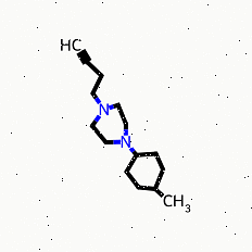 C#CCCN1CCN(C2CCC(C)CC2)CC1